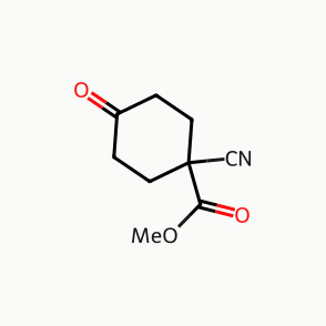 COC(=O)C1(C#N)CCC(=O)CC1